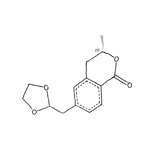 C[C@H]1Cc2cc(CC3OCCO3)ccc2C(=O)O1